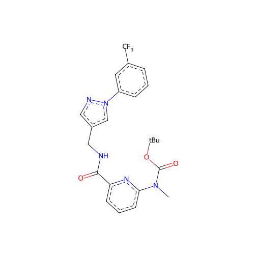 CN(C(=O)OC(C)(C)C)c1cccc(C(=O)NCc2cnn(-c3cccc(C(F)(F)F)c3)c2)n1